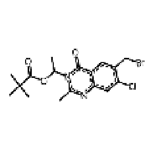 Cc1nc2cc(Cl)c(CBr)cc2c(=O)n1C(C)OC(=O)C(C)(C)C